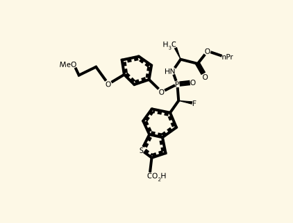 CCCOC(=O)[C@H](C)NP(=O)(Oc1cccc(OCCOC)c1)[C@@H](F)c1ccc2sc(C(=O)O)cc2c1